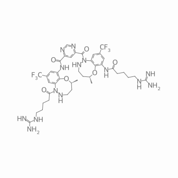 C[C@H]1CCNN(C(=O)CCCCNC(=N)N)c2cc(C(F)(F)F)cc(NC(=O)c3cc(C(=O)N4NCC[C@H](C)Oc5c(NC(=O)CCCCNC(=N)N)cc(C(F)(F)F)cc54)ncn3)c2O1